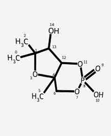 CC1(C)OC2(C)COP(=O)(O)OC2C1O